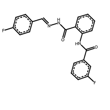 O=C(Nc1ccccc1C(=O)NN=Cc1ccc(F)cc1)c1cccc(F)c1